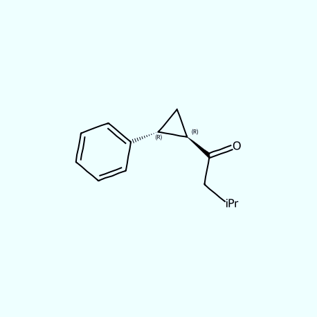 CC(C)CC(=O)[C@@H]1C[C@H]1c1ccccc1